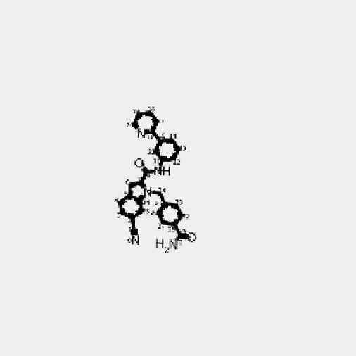 N#Cc1ccc2cc(C(=O)Nc3cccc(-c4ccccn4)c3)n(Cc3ccc(C(N)=O)cc3)c2c1